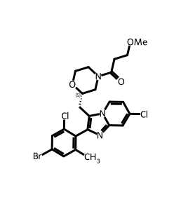 COCCC(=O)N1CCO[C@@H](Cc2c(-c3c(C)cc(Br)cc3Cl)nc3cc(Cl)ccn23)C1